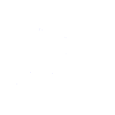 Cc1noc(C(NC(=O)c2nc(-c3ccccc3)n3c2CNCCC3)C(C)(C)C)n1